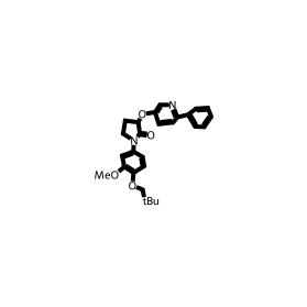 COc1cc(N2CCC(Oc3ccc(-c4ccccc4)nc3)C2=O)ccc1OCC(C)(C)C